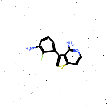 Nc1cccc(-c2csc3ccnc(N)c23)c1F